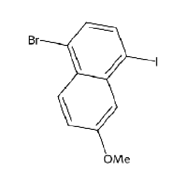 COc1ccc2c(Br)ccc(I)c2c1